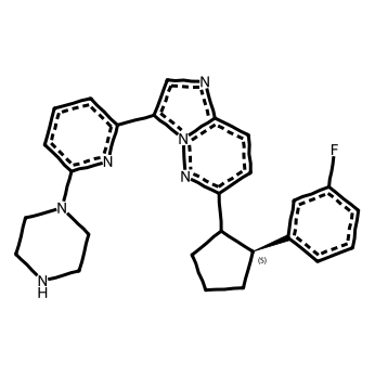 Fc1cccc([C@H]2CCCC2c2ccc3ncc(-c4cccc(N5CCNCC5)n4)n3n2)c1